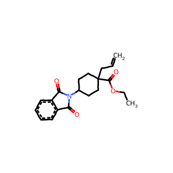 C=CCC1(C(=O)OCC)CCC(N2C(=O)c3ccccc3C2=O)CC1